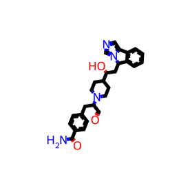 NC(=O)c1ccc(CC(C=O)N2CCC(C(O)CC3c4ccccc4-c4cncn43)CC2)cc1